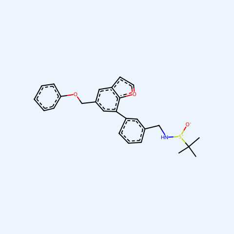 CC(C)(C)[S+]([O-])NCc1cccc(-c2cc(COc3ccccc3)cc3ccoc23)c1